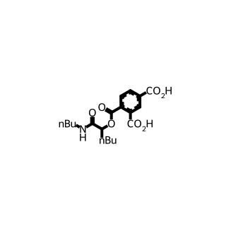 CCCCNC(=O)C(CCCC)OC(=O)c1ccc(C(=O)O)cc1C(=O)O